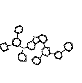 c1ccc(-c2cccc(-c3nc(-c4ccccc4)nc(-c4cccc5sc6cc(N(c7ccccc7)c7cc(-c8ccccc8)cc(-c8ccccc8)c7)ccc6c45)n3)c2)cc1